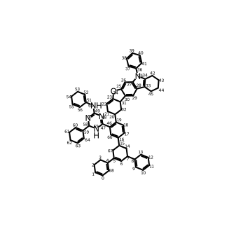 C1=CCCC(C2=CC(c3ccccc3)CC(c3ccc(C4CC=C5Oc6cc7c(cc6C5C4)c4c(n7-c5ccccc5)CCCC4)c(C4=NC(NC5=CCCC=C5)=NC(C5=CCCC=C5)N4)c3)C2)=C1